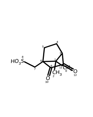 CC1(C)C2CCC1(CS(=O)(=O)O)C(=O)C2=O